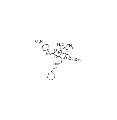 CCCCCCCCCCOC[C@@]12O[C@@H](CNCCN3CCCCC3)[C@@H](OC(=O)Nc3ccc([N+](=O)[O-])cc3)[C@@H]1OC(C)(C)O2